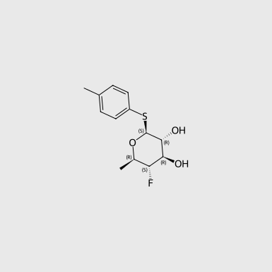 Cc1ccc(S[C@@H]2O[C@H](C)[C@@H](F)[C@H](O)[C@H]2O)cc1